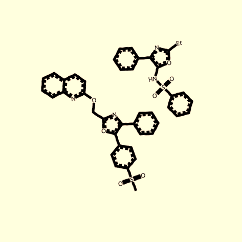 CCc1nc(-c2ccccc2)c(NS(=O)(=O)c2ccccc2)o1.CS(=O)(=O)c1ccc(-c2oc(COc3ccc4ccccc4n3)nc2-c2ccccc2)cc1